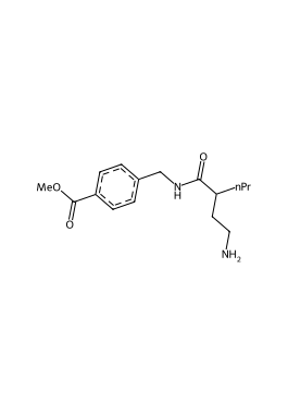 CCCC(CCN)C(=O)NCc1ccc(C(=O)OC)cc1